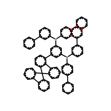 c1ccc(-c2ccc(N(c3cccc(-c4ccccc4)c3)c3cc(-c4cccc5c4-c4ccccc4C54c5ccccc5-c5ccccc54)cc(N(c4ccc(-c5ccccc5)cc4)c4cccc(-c5ccccc5)c4)c3)cc2)cc1